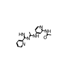 CC(=O)Nc1cc(N/C(C)=N/C(=N)c2ccccn2)ccn1